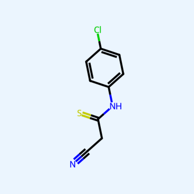 N#CCC(=S)Nc1ccc(Cl)cc1